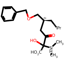 CC(C)C[C@H](COCc1ccccc1)CC(=O)C(O)(C(=O)O)[SiH](C)C